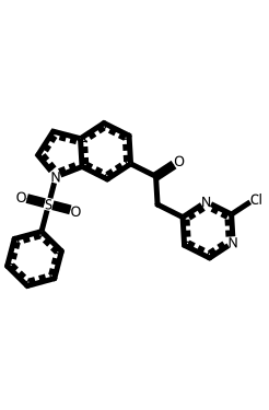 O=C(Cc1ccnc(Cl)n1)c1ccc2ccn(S(=O)(=O)c3ccccc3)c2c1